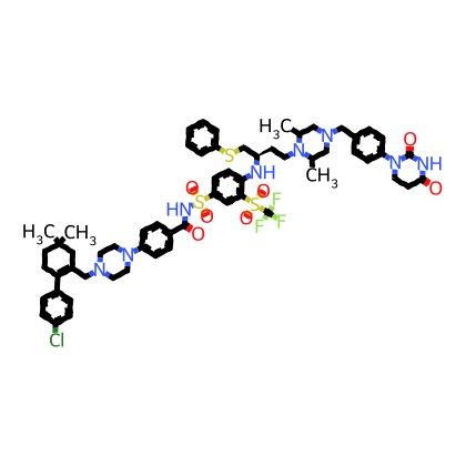 CC1CN(Cc2ccc(N3CCC(=O)NC3=O)cc2)CC(C)N1CC[C@H](CSc1ccccc1)Nc1ccc(S(=O)(=O)NC(=O)c2ccc(N3CCN(CC4=C(c5ccc(Cl)cc5)CCC(C)(C)C4)CC3)cc2)cc1S(=O)(=O)C(F)(F)F